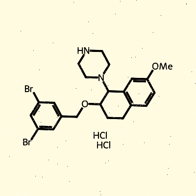 COc1ccc2c(c1)C(N1CCNCC1)C(OCc1cc(Br)cc(Br)c1)CC2.Cl.Cl